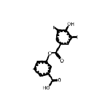 O=C(O)c1cccc(OC(=O)c2cc(I)c(O)c(I)c2)c1